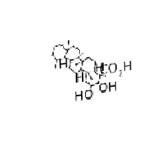 C[C@H]1[C@H](C)CC[C@]2(C)CC[C@]3(C)C(=CC[C@@H]4[C@@]5(C)C[C@H](O)[C@H](O)[C@@](C)(C(=O)O)[C@@H]5CC[C@]43C)[C@H]12